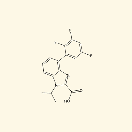 CC(C)n1c(C(=O)O)nc2c(-c3cc(F)cc(F)c3F)cccc21